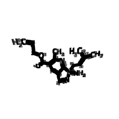 C=CCOC(=O)c1cc2c(nc1C)[N+](N)(CC=C(C)C)N=C2